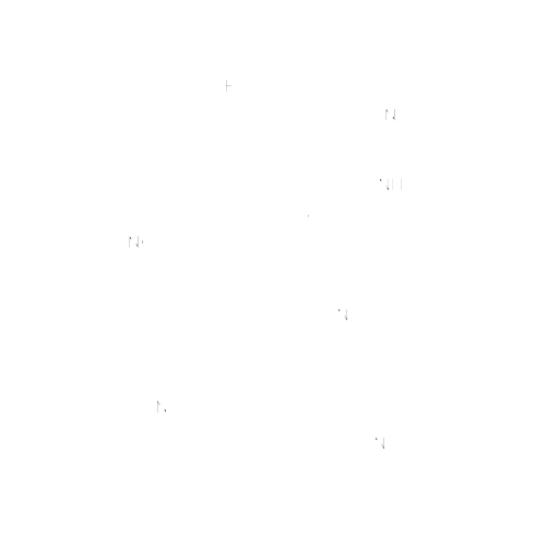 N#Cc1cccc(C(C(c2cccnc2)c2cccnc2)N2CCCC2C(=O)Nc2cc(C(F)(F)F)ccn2)c1